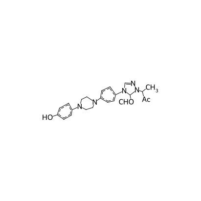 CC(=O)C(C)N1N=CN(c2ccc(N3CCN(c4ccc(O)cc4)CC3)cc2)C1C=O